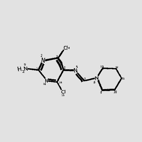 Nc1nc(Cl)c(N=CN2CCCCC2)c(Cl)n1